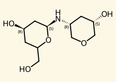 OCC1C[C@@H](O)C[C@@H](N[C@H]2COC[C@@H](O)C2)O1